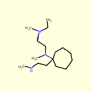 CCN(C)CCN(C)C1(CCNC)CCCCCC1